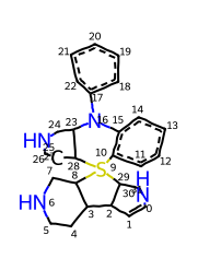 C1=CC2C3CCNCC3S3(c4ccccc4N(c4ccccc4)C4CNCCC43)C2CN1